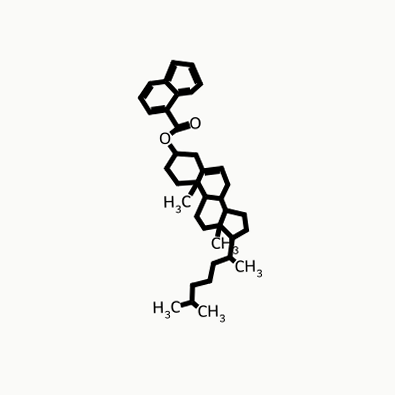 CC(C)CCCC(C)C1CCC2C3CC=C4CC(OC(=O)c5cccc6ccccc56)CCC4(C)C3CCC12C